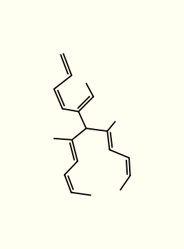 C=C/C=C\C(=C/C)C(/C(C)=C/C=C\C)/C(C)=C/C=C\C